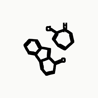 ClC1=CC=CC=CN1.O=C1C=CC=C2C1=Cc1ccccc12